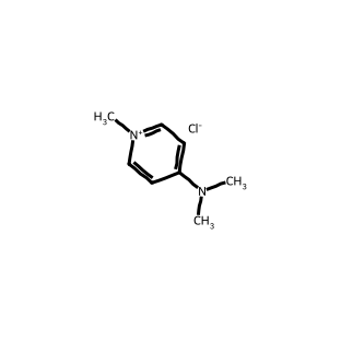 CN(C)c1cc[n+](C)cc1.[Cl-]